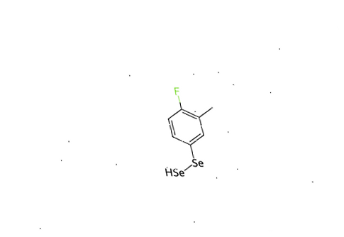 Cc1cc([Se][SeH])ccc1F